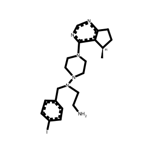 C[C@@H]1CCc2ncnc(N3CCN(N(CCN)Cc4ccc(I)cc4)CC3)c21